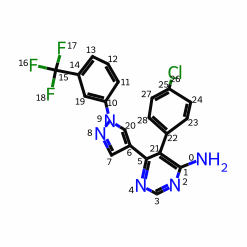 Nc1ncnc(-c2cnn(-c3cccc(C(F)(F)F)c3)c2)c1-c1ccc(Cl)cc1